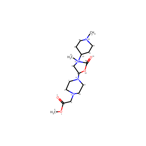 COC(=O)CN1CCN(C2C[N+](C)(C3CCN(C)CC3)C(=O)O2)CC1